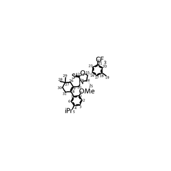 COc1ccc(C(C)C)cc1C1=C(CN2C(=S)O[C@H](c3cc(C)cc(C(F)(F)F)c3)[C@@H]2C)CC(C)(C)CC1